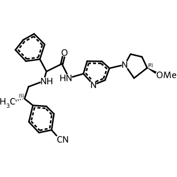 CO[C@@H]1CCN(c2ccc(NC(=O)C(NC[C@@H](C)c3ccc(C#N)cc3)c3ccccc3)nc2)C1